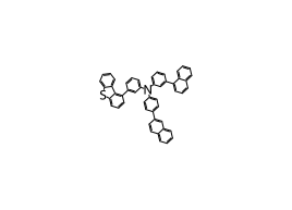 c1cc(-c2cccc3ccccc23)cc(N(c2ccc(-c3ccc4ccccc4c3)cc2)c2cccc(-c3cccc4sc5ccccc5c34)c2)c1